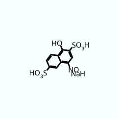 O=Nc1cc(S(=O)(=O)O)c(O)c2ccc(S(=O)(=O)O)cc12.[NaH]